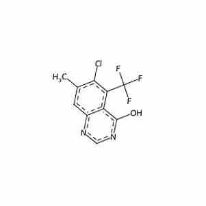 Cc1cc2ncnc(O)c2c(C(F)(F)F)c1Cl